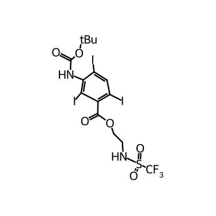 CC(C)(C)OC(=O)Nc1c(I)cc(I)c(C(=O)OCCNS(=O)(=O)C(F)(F)F)c1I